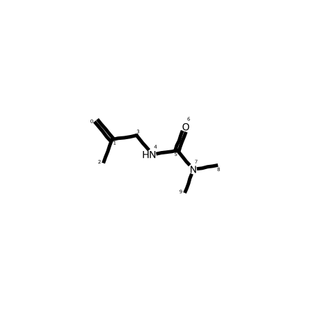 C=C(C)CNC(=O)N(C)C